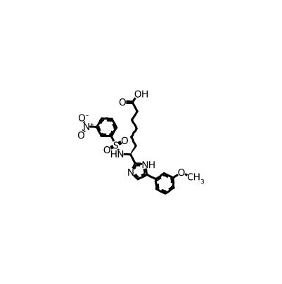 COc1cccc(-c2cnc([C@H](CCCCCC(=O)O)NS(=O)(=O)c3cccc([N+](=O)[O-])c3)[nH]2)c1